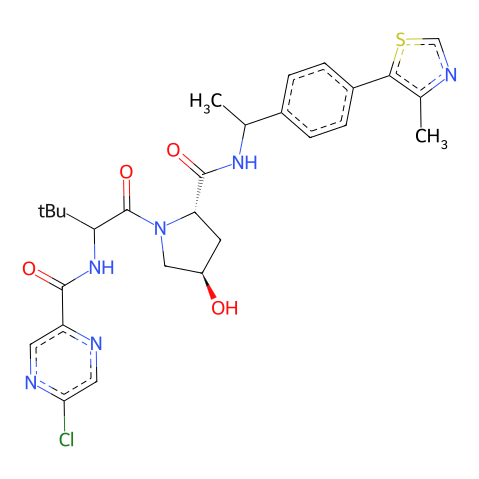 Cc1ncsc1-c1ccc(C(C)NC(=O)[C@@H]2C[C@@H](O)CN2C(=O)C(NC(=O)c2cnc(Cl)cn2)C(C)(C)C)cc1